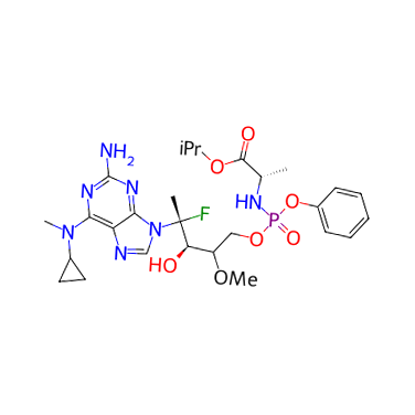 COC(COP(=O)(N[C@@H](C)C(=O)OC(C)C)Oc1ccccc1)[C@@H](O)[C@@](C)(F)n1cnc2c(N(C)C3CC3)nc(N)nc21